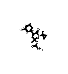 CC1(NC(=O)C(CC(C)(C)OC(N)=O)c2cccc(Cl)c2)CC1